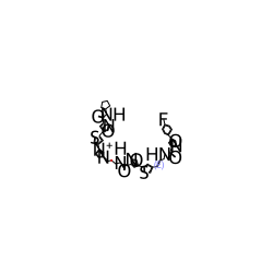 O=C(NC/C=C/c1csc(-c2cc(C(=O)NCCCn3cc[n+](-c4csc(-c5cc(C(=O)NC6CCCC6)no5)c4)c3)no2)c1)c1cc(-c2ccc(F)cc2)on1